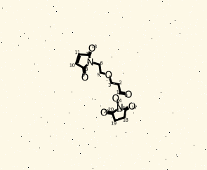 O=C(CCOCCN1C(=O)C=CC1=O)ON1C(=O)CCC1=O